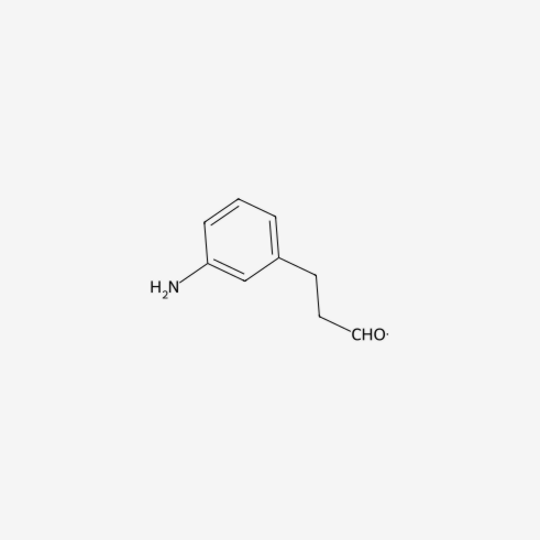 Nc1cccc(CC[C]=O)c1